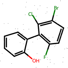 Oc1ccccc1-c1c(F)ccc(Br)c1Cl